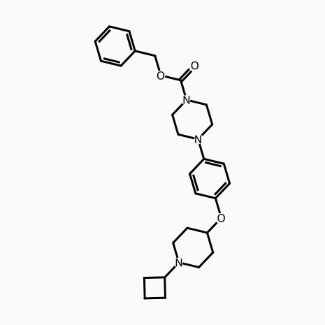 O=C(OCc1ccccc1)N1CCN(c2ccc(OC3CCN(C4CCC4)CC3)cc2)CC1